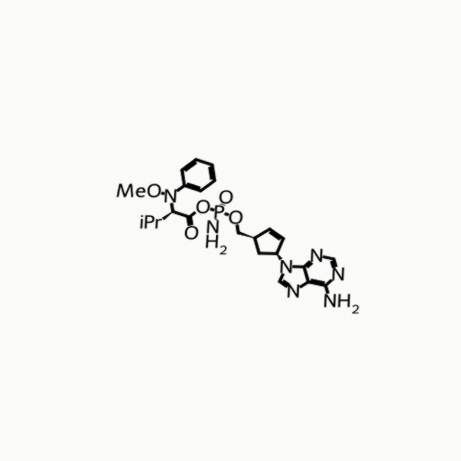 CON(c1ccccc1)[C@@H](C(=O)OP(N)(=O)OC[C@H]1C=C[C@@H](n2cnc3c(N)ncnc32)C1)C(C)C